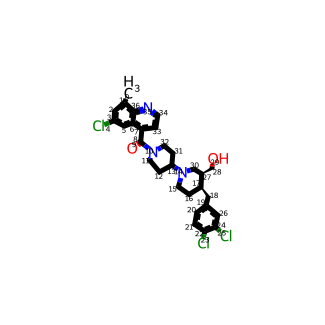 Cc1cc(Cl)cc2c(C(=O)N3CCC(N4CC[C@H](Cc5ccc(Cl)c(Cl)c5)[C@H](CO)C4)CC3)ccnc12